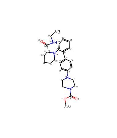 CC(C)(C)OC(=O)N1CCN(c2ccc(-c3ccccc3N3CCCC[C@@H]3C(=O)NCC#N)cc2)CC1